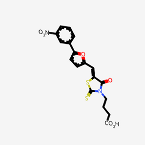 O=C(O)CCCN1C(=O)C(=Cc2ccc(-c3cccc([N+](=O)[O-])c3)o2)SC1=S